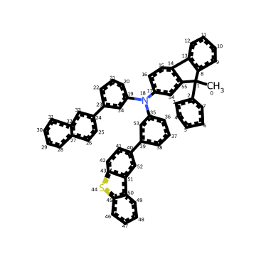 CC1(c2ccccc2)c2ccccc2-c2ccc(N(c3cccc(-c4ccc5ccccc5c4)c3)c3cccc(-c4ccc5sc6ccccc6c5c4)c3)cc21